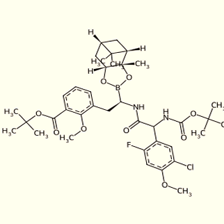 COc1cc(F)c(C(NC(=O)OC(C)(C)C)C(=O)N[C@@H](Cc2cccc(C(=O)OC(C)(C)C)c2OC)B2O[C@@H]3C[C@@H]4C[C@@H](C4(C)C)[C@]3(C)O2)cc1Cl